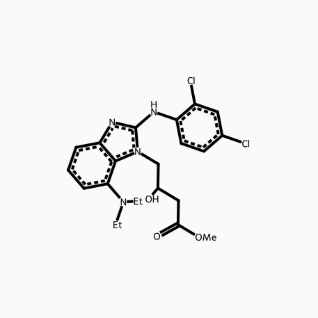 CCN(CC)c1cccc2nc(Nc3ccc(Cl)cc3Cl)n(CC(O)CC(=O)OC)c12